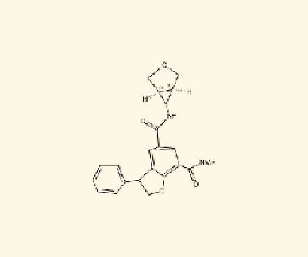 CNC(=O)c1cc(C(=O)NC2[C@H]3COC[C@@H]23)cc2c1OCC2c1ccccc1